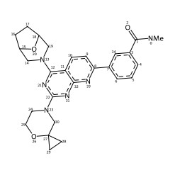 CNC(=O)c1cccc(-c2ccc3c(N4CC5CCC(C4)O5)nc(N4CCOC5(CC5)C4)nc3n2)c1